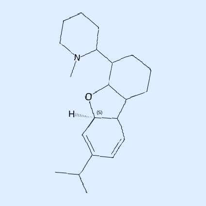 CC(C)C1=C[C@H]2OC3C(CCCC3C3CCCCN3C)C2C=C1